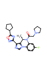 C[C@@H]1c2c(-c3noc(C4CCCC4)n3)ncn2-c2ccc(F)cc2N1C(=O)CN1CCCC1